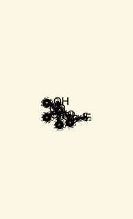 CC(C)(O)C1OC(COC(=O)c2ccccc2OCCCSF)C(OCc2ccccc2)C(OCc2ccccc2)C1OCc1ccccc1